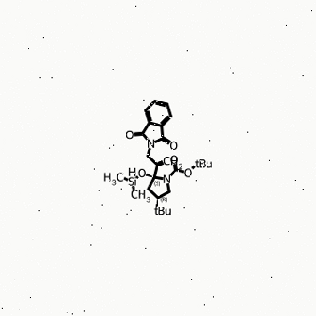 C=C(CN1C(=O)c2ccccc2C1=O)[C@@]1(O[SiH](C)C)C[C@H](C(C)(C)C)CN1C(=O)OC(C)(C)C